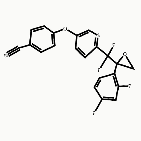 N#Cc1ccc(Oc2ccc(C(F)(F)C3(c4ccc(F)cc4F)CO3)nc2)cc1